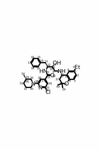 CCc1ccc2c(c1)[C@@H](NC[C@H](O)[C@H](Cc1ccccc1)NC(=O)c1cc(Cl)nc(N3CCC[C@@H](C)C3)c1)CC(C)(C)O2